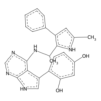 Cc1cc(-c2ccccc2)c(C(C)Nc2ncnc3[nH]cc(-c4ccc(O)cc4O)c23)[nH]1